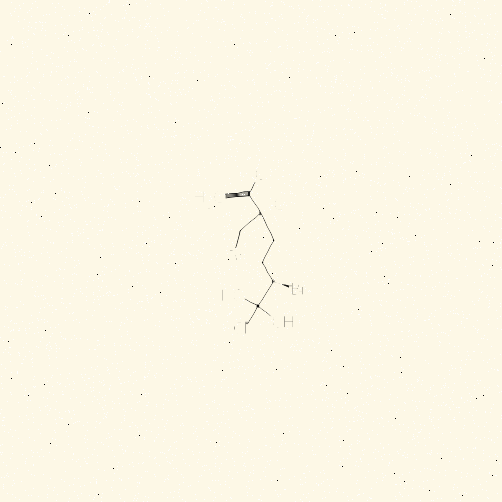 C=C(Cl)[C@](Cl)(CBr)CC[C@@H](Br)C(C)(C)Cl